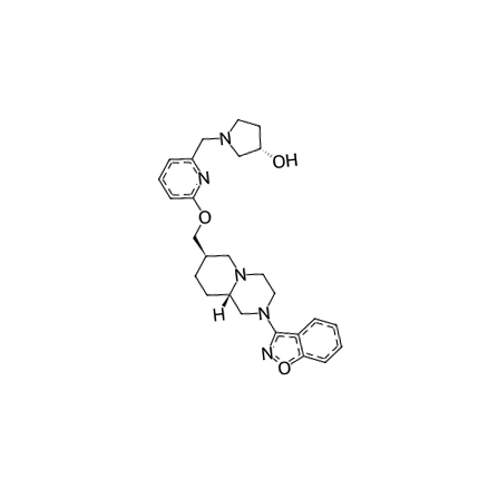 O[C@H]1CCN(Cc2cccc(OC[C@@H]3CC[C@H]4CN(c5noc6ccccc56)CCN4C3)n2)C1